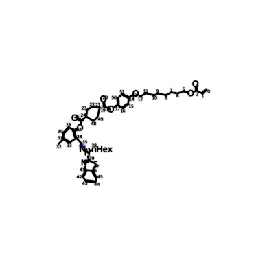 C=CC(=O)OCCCCCCCCOc1ccc(OC(=O)[C@H]2CC[C@H](C(=O)Oc3ccc(C)cc3/C=N/N(CCCCCC)c3nc4ccccc4s3)CC2)cc1